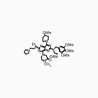 CCN(CCN1CCCC1)c1nc(N2CCN(C)C(=O)C2)c2nc(N(CCOC)Cc3cc(OC)c(OC)c(OC)c3)nc(N3CCC(OC)CC3)c2n1